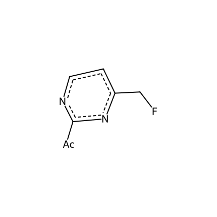 CC(=O)c1nccc(CF)n1